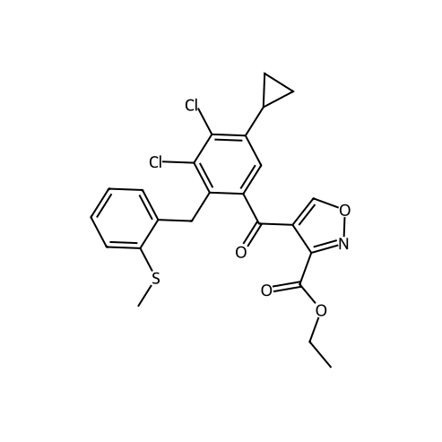 CCOC(=O)c1nocc1C(=O)c1cc(C2CC2)c(Cl)c(Cl)c1Cc1ccccc1SC